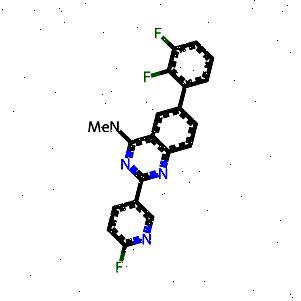 CNc1nc(-c2ccc(F)nc2)nc2ccc(-c3cccc(F)c3F)cc12